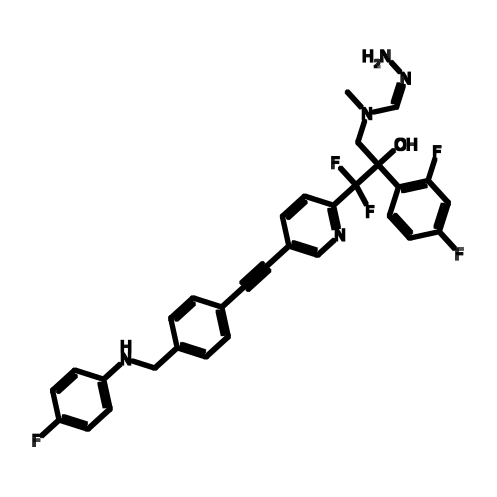 CN(/C=N\N)CC(O)(c1ccc(F)cc1F)C(F)(F)c1ccc(C#Cc2ccc(CNc3ccc(F)cc3)cc2)cn1